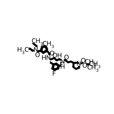 CCCN(CCC)C(=O)c1cc(C)cc(C(=O)N[C@@H](Cc2cc(F)cc(F)c2)[C@H](O)CCNC(=O)CCC2CCCN(C(=O)OC(C)(C)C)C2)c1